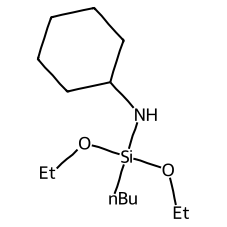 CCCC[Si](NC1CCCCC1)(OCC)OCC